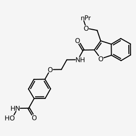 CCCOCc1c(C(=O)NCCOc2ccc(C(=O)NO)cc2)oc2ccccc12